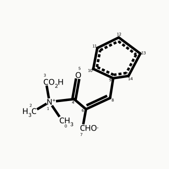 C[N+](C)(C(=O)O)C(=O)C([C]=O)=Cc1ccccc1